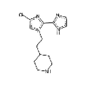 Clc1cn(CCC2CCNCC2)c(-c2ncc[nH]2)n1